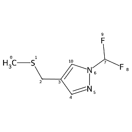 CSCc1cnn(C(F)F)c1